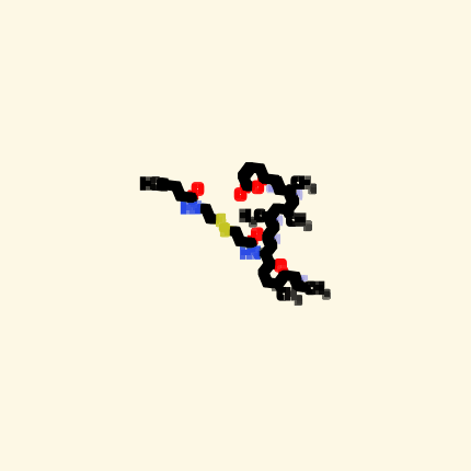 C#CCCC(=O)NCCSSCCC(=O)N[C@H](/C=C/C=C(\C)CC(C)/C=C(C)\C=C\C1CC=CC(=O)O1)C1CC[C@H](C)C(/C=C/C)O1